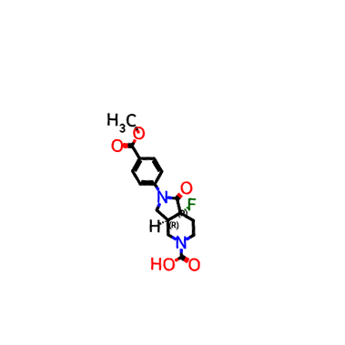 COC(=O)c1ccc(N2C[C@@H]3CN(C(=O)O)CC[C@]3(F)C2=O)cc1